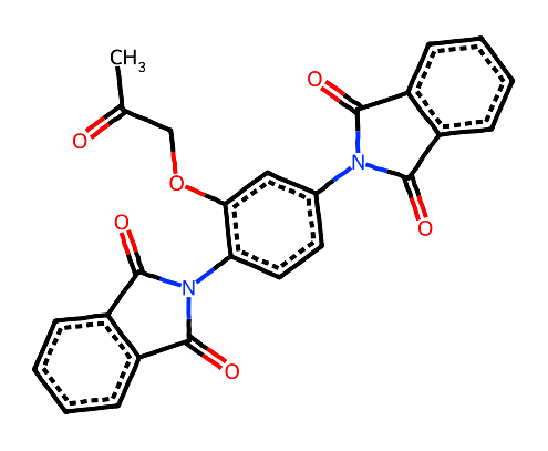 CC(=O)COc1cc(N2C(=O)c3ccccc3C2=O)ccc1N1C(=O)c2ccccc2C1=O